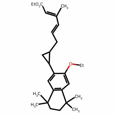 CCOC(=O)C=C(C)C=CCC1CC1c1cc2c(cc1OCC)C(C)(C)CCC2(C)C